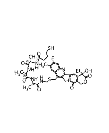 CCC1(O)C(=O)OCc2c1cc1n(c2=O)Cc2c-1nc1cc(F)c(C)cc1c2CSCNC(=O)[C@H](C)NC(=O)[C@@H](C)NC(=O)[C@H](C)NC(=O)CCCS